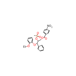 CCOc1ccccc1OC(c1ccccc1)C(COC(=O)c1ccc([N+](=O)[O-])cc1)OS(C)(=O)=O